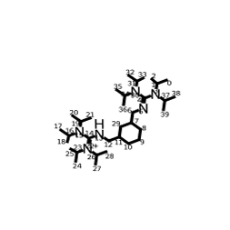 CC(C)N(C(=NCC1CCCC(CNC(N(C(C)C)C(C)C)=[N+](C(C)C)C(C)C)C1)N(C(C)C)C(C)C)C(C)C